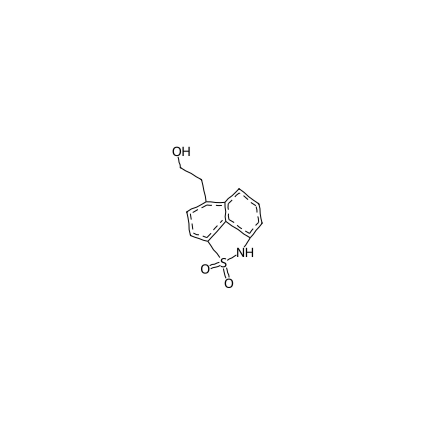 O=S1(=O)Nc2cccc3c(CCO)ccc1c23